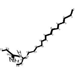 CCCCCCCCCCCCCCCOC(CC)NC(N)CC